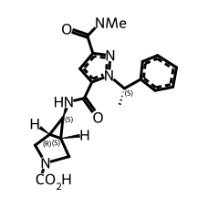 CNC(=O)c1cc(C(=O)N[C@H]2[C@@H]3CN(C(=O)O)C[C@@H]32)n([C@@H](C)c2ccccc2)n1